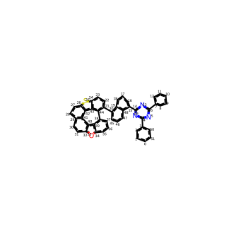 c1ccc(-c2nc(-c3ccccc3)nc(-c3cccc4c(-c5ccc6sc7ccc8ccc9oc%10cccc%11c%10c9c8c7c6c5-%11)cccc34)n2)cc1